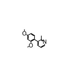 COc1ccc(-c2cccnc2C)c(OC)c1